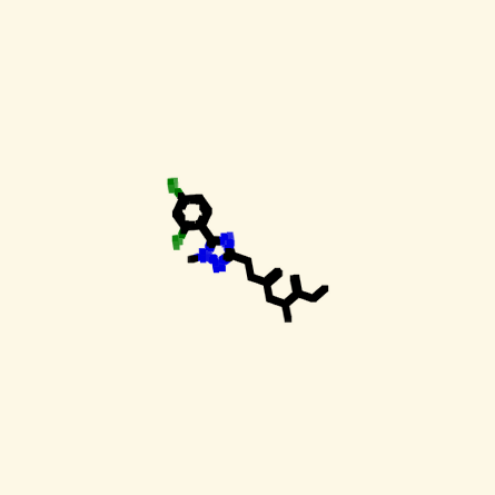 C=C(CCc1nc(-c2ccc(F)cc2F)n(C)n1)CC(C)C(=C)CC